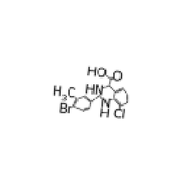 Cc1cc(C2Nc3c(Cl)cccc3C(C(=O)O)N2)ccc1Br